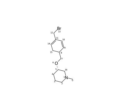 CN1CCC[C@H](OCC2C=CC(CBr)=CC2)C1